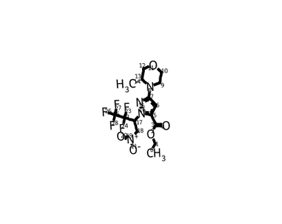 CCOC(=O)c1cc(N2CCOC[C@H]2C)nn1C(C[N+](=O)[O-])C(F)(F)C(F)(F)F